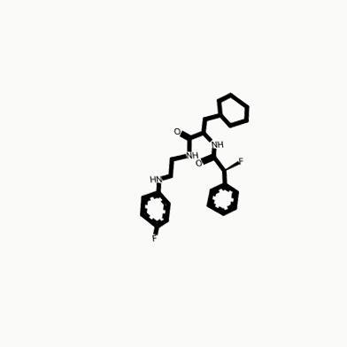 O=C(NCCNc1ccc(F)cc1)C(CC1CCCCC1)NC(=O)[C@@H](F)c1ccccc1